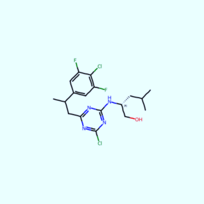 CC(C)C[C@H](CO)Nc1nc(Cl)nc(CC(C)c2cc(F)c(Cl)c(F)c2)n1